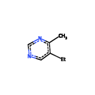 CCc1cncnc1C